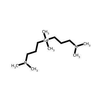 CN(C)CC[CH2][Ge]([CH3])([CH3])[CH2]CCN(C)C